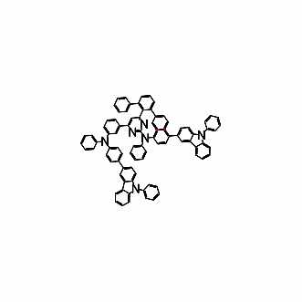 c1ccc(-c2cccc(-c3ccccc3)c2-c2cc(-c3cccc(N(c4ccccc4)c4ccc(-c5ccc6c(c5)c5ccccc5n6-c5ccccc5)cc4)c3)nc(N(c3ccccc3)c3ccc(-c4ccc5c(c4)c4ccccc4n5-c4ccccc4)cc3)n2)cc1